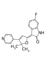 CC1(C)O/C(=C2\C(=O)Nc3cc(F)ccc32)C=C1c1ccncc1